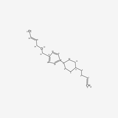 C=CCCC1CCC(c2ccc(COCC=CCC)cc2)CC1